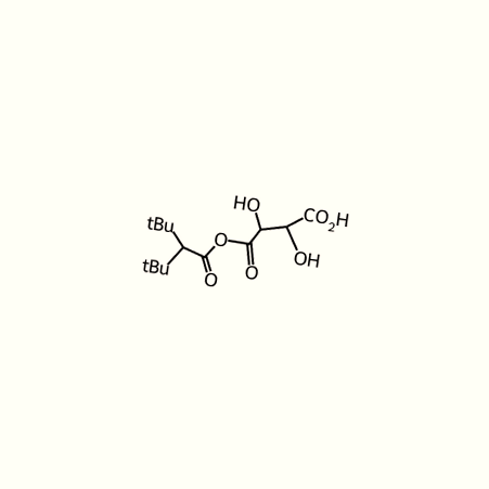 CC(C)(C)C(C(=O)OC(=O)C(O)C(O)C(=O)O)C(C)(C)C